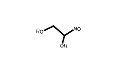 O=NC(O)CO